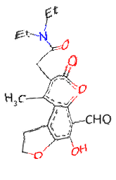 CCN(CC)C(=O)Cc1c(C)c2c3c(c(O)c(C=O)c2oc1=O)OCC3